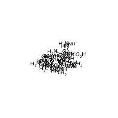 CN[C@@H](CC(N)=O)C(=O)C(=O)[C@H](CO)NC(=O)C(CC(N)=O)NC(=O)[C@H](C)NN[C@@H](CO)C(=O)N1CCC[C@H]1C(=O)N[C@@H](C)C(=O)N[C@@H](CCSC)C(=O)NC(C)C(=O)N1CCC[C@H]1C(=O)N[C@@H](CCCNC(=N)N)C(=O)N[C@@H](CCC(=O)O)C(=O)N[C@@H](CCCNC(=N)N)C(=O)N[C@H](C=O)CCCCN